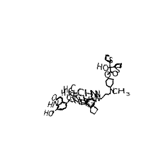 CN(CCCn1nnc2cc(CNC[C@H](O[Si](C)(C)C(C)(C)C)c3ccc(O)c4[nH]c(=O)ccc34)c3c(c21)CCC3)[C@H]1CC[C@H](OC(=O)C(O)(c2cccs2)c2cccs2)CC1